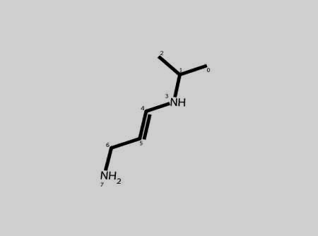 CC(C)NC=CCN